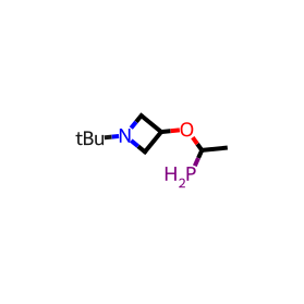 CC(P)OC1CN(C(C)(C)C)C1